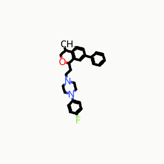 CC1COC(CCN2CCN(c3ccc(F)cc3)CC2)c2cc(-c3ccccc3)ccc21